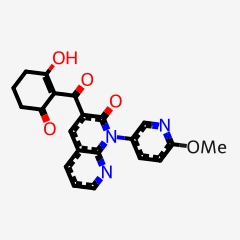 COc1ccc(-n2c(=O)c(C(=O)C3=C(O)CCCC3=O)cc3cccnc32)cn1